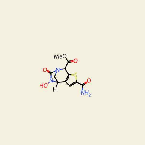 COC(=O)C1c2sc(C(N)=O)cc2[C@H]2CN1C(=O)N2O